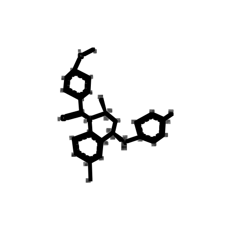 COc1ccc(C(=O)N2c3ccc(C)cc3[C@H](Nc3ccc(C)cc3)C[C@@H]2C)cc1